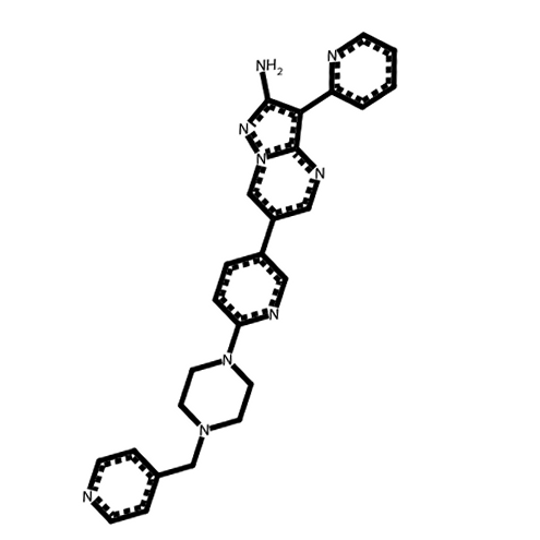 Nc1nn2cc(-c3ccc(N4CCN(Cc5ccncc5)CC4)nc3)cnc2c1-c1ccccn1